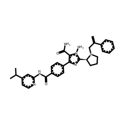 C=C(CN1CCC[C@H]1c1nc(-c2ccc(C(=O)Nc3cc(C(C)C)ccn3)cc2)c(C(N)=O)n1N)c1ccccc1